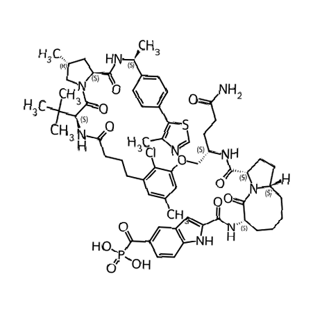 Cc1cc(CCCC(=O)N[C@H](C(=O)N2C[C@H](C)C[C@H]2C(=O)N[C@@H](C)c2ccc(-c3scnc3C)cc2)C(C)(C)C)c(Cl)c(OC[C@H](CCC(N)=O)NC(=O)[C@@H]2CC[C@@H]3CCCC[C@H](NC(=O)c4cc5cc(C(=O)P(=O)(O)O)ccc5[nH]4)C(=O)N32)c1